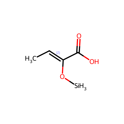 C/C=C(\O[SiH3])C(=O)O